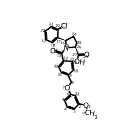 COc1cccc(OCc2ccc(C(=O)N3[C@@H](c4ccccc4Cl)CC[C@H]3C(=O)O)cc2)c1